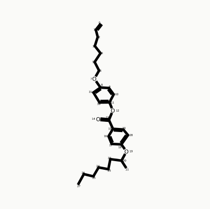 C=CCCCCCOc1ccc(OC(=O)c2ccc(OC(C)CCCCCC)cc2)cc1